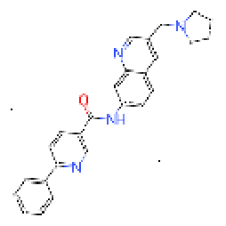 O=C(Nc1ccc2cc(CN3CCCC3)cnc2c1)c1ccc(-c2ccccc2)nc1